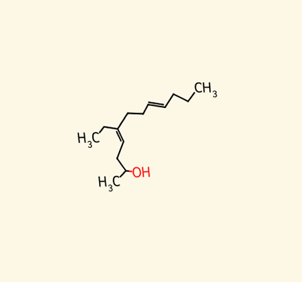 CCCC=CCCC(=CCC(C)O)CC